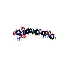 O=C1CCC(N2C(=O)c3cc4c(cc3C2=O)CN(CC2(F)CCN(c3ccc(C(=O)NC5CCCCC5)cc3)CC2)C4)C(=O)N1